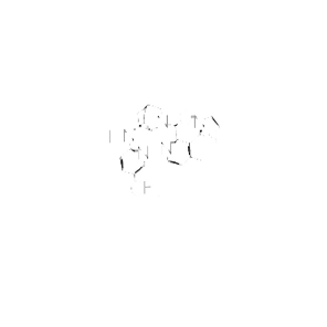 Cc1ccnc(C(=O)N2CC3CCC2C(Nc2ccc(C(F)(F)F)cn2)C3)c1-c1nccs1